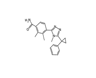 Cc1c(C(N)=O)ccc(-c2nnc(C3(c4ccccc4)CC3)n2C)c1C